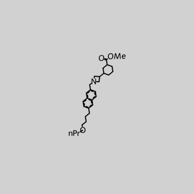 CCCOCCCCc1ccc2cc(CN3CC(C4CCCC(C(=O)OC)C4)C3)ccc2c1